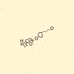 CC1(C)OC[C@@H](COc2ccc(CCCC=O)cc2)O1